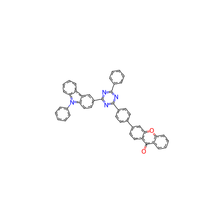 O=c1c2ccccc2oc2cc(-c3ccc(-c4nc(-c5ccccc5)nc(-c5ccc6c(c5)c5ccccc5n6-c5ccccc5)n4)cc3)ccc12